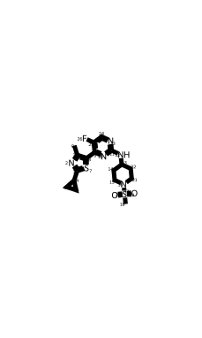 Cc1nc(C2CC2)sc1-c1nc(NC2CCN(S(C)(=O)=O)CC2)ncc1F